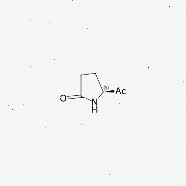 CC(=O)[C@@H]1CCC(=O)N1